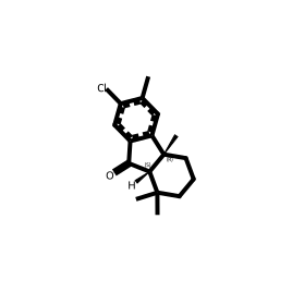 Cc1cc2c(cc1Cl)C(=O)[C@H]1C(C)(C)CCC[C@@]21C